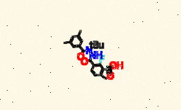 Cc1cc(C)cc(C(=O)N(NC(=O)c2ccc3c(c2F)B(O)OC3)C(C)(C)C)c1